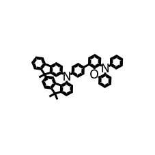 CC1(C)c2ccccc2-c2ccc(N(c3ccc(-c4cccc5c4Oc4ccccc4N5c4ccccc4)cc3)c3cccc4c3-c3ccccc3C4(C)C)cc21